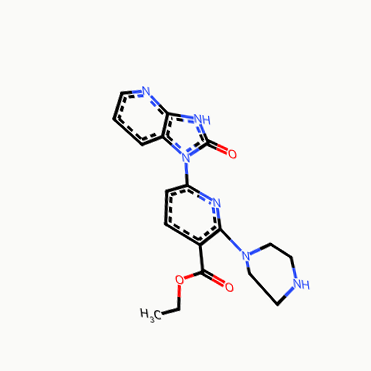 CCOC(=O)c1ccc(-n2c(=O)[nH]c3ncccc32)nc1N1CCNCC1